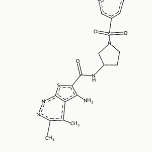 CCc1cccc(S(=O)(=O)N2CCC(NC(=O)c3sc4nnc(C)c(C)c4c3N)C2)c1